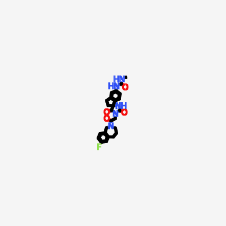 CNC(=O)Nc1ccc2c(c1)CCC21NC(=O)N(CC(=O)N2CCCc3cc(F)ccc3C2)C1=O